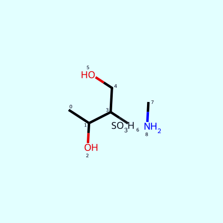 CC(O)C(CO)S(=O)(=O)O.CN